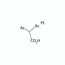 CC(=O)C(C(C)=O)C(=O)O.[Pt]